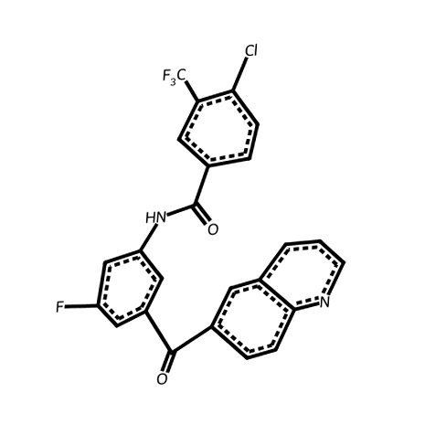 O=C(Nc1cc(F)cc(C(=O)c2ccc3ncccc3c2)c1)c1ccc(Cl)c(C(F)(F)F)c1